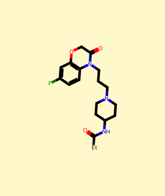 CCC(=O)NC1CCN(CCCN2C(=O)COc3cc(F)ccc32)CC1